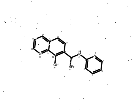 CCCC(Nc1ccccn1)c1ccc2cccnc2c1O